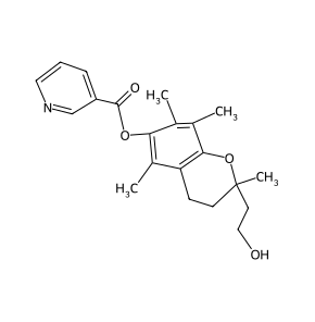 Cc1c(C)c2c(c(C)c1OC(=O)c1cccnc1)CCC(C)(CCO)O2